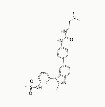 Cc1nc2ccc(-c3ccc(NC(=O)NCCN(C)C)cc3)cc2n1-c1cccc(NS(C)(=O)=O)c1